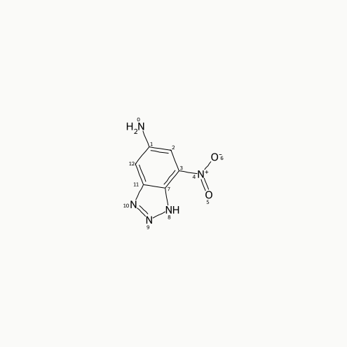 Nc1cc([N+](=O)[O-])c2[nH]nnc2c1